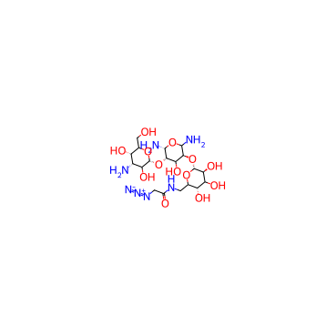 [N-]=[N+]=NCC(=O)NCC1O[C@H](O[C@@H]2C(N)O[C@@H](N)[C@@H](O[C@H]3OC(CO)[C@@H](O)[C@@H](N)C3O)C2O)[C@@H](O)C(O)[C@@H]1O